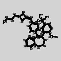 COc1ccc(C(F)(F)F)cc1C1=C(c2ccc(C=C3CN(CCCF)C3)cc2)c2ccccc2CCC1